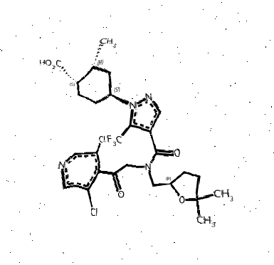 C[C@@H]1C[C@@H](n2ncc(C(=O)N(CC(=O)c3c(Cl)cncc3Cl)C[C@H]3CCC(C)(C)O3)c2C(F)(F)F)CC[C@@H]1C(=O)O